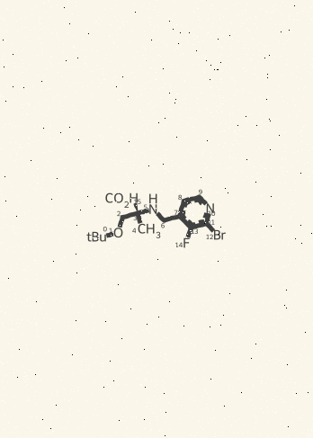 CC(C)(C)OC[C@@](C)(NCc1ccnc(Br)c1F)C(=O)O